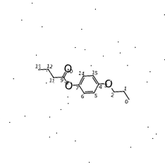 CCCOc1ccc(OC(=O)CCC)cc1